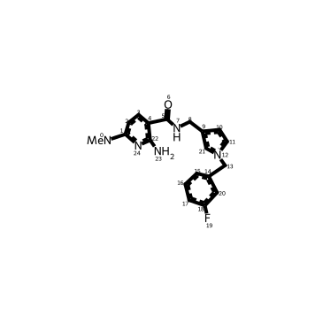 CNc1ccc(C(=O)NCc2ccn(Cc3cccc(F)c3)c2)c(N)n1